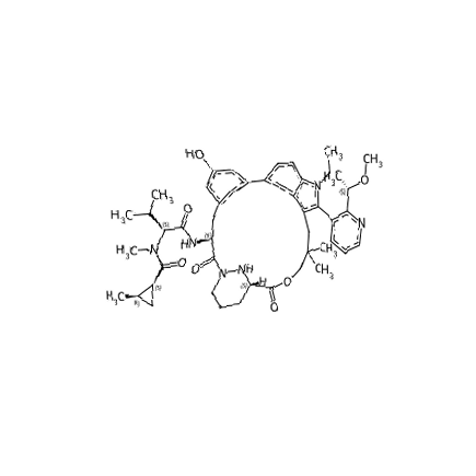 CCn1c(-c2cccnc2[C@H](C)OC)c2c3cc(ccc31)-c1cc(O)cc(c1)C[C@H](NC(=O)[C@H](C(C)C)N(C)C(=O)[C@H]1C[C@H]1C)C(=O)N1CCC[C@H](N1)C(=O)OCC(C)(C)C2